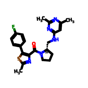 Cc1cc(NC[C@@H]2CCCN2C(=O)c2nc(C)sc2-c2ccc(F)cc2)nc(C)n1